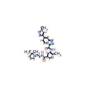 Cc1ncc(C(=O)NCCN2CCCC2(C)C)cc1NC(=O)c1nnc2cc(-c3cnn(C)c3)ccn12